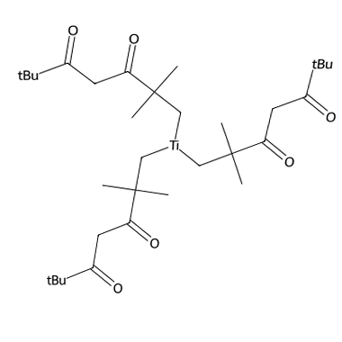 CC(C)(C)C(=O)CC(=O)C(C)(C)[CH2][Ti]([CH2]C(C)(C)C(=O)CC(=O)C(C)(C)C)[CH2]C(C)(C)C(=O)CC(=O)C(C)(C)C